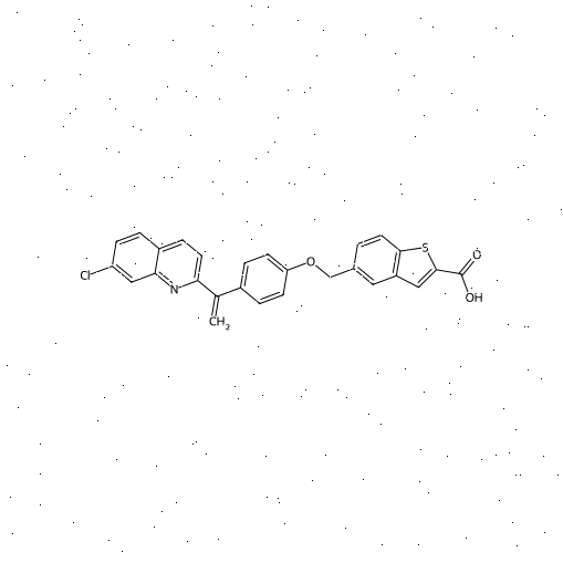 C=C(c1ccc(OCc2ccc3sc(C(=O)O)cc3c2)cc1)c1ccc2ccc(Cl)cc2n1